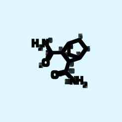 NC(=O)C1C2CCC(C2)C1C(N)=O